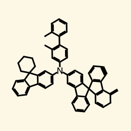 C=C1CC=CC2=C1c1c#cccc1C21c2ccccc2-c2cc(N(c3ccc(-c4ccccc4C)c(C)c3)c3ccc4c(c3)C3(CCCCC3)c3ccccc3-4)ccc21